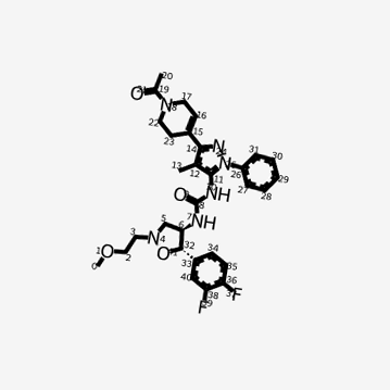 COCCN1C[C@@H](NC(=O)Nc2c(C)c(C3=CCN(C(C)=O)CC3)nn2-c2ccccc2)[C@H](c2ccc(F)c(F)c2)O1